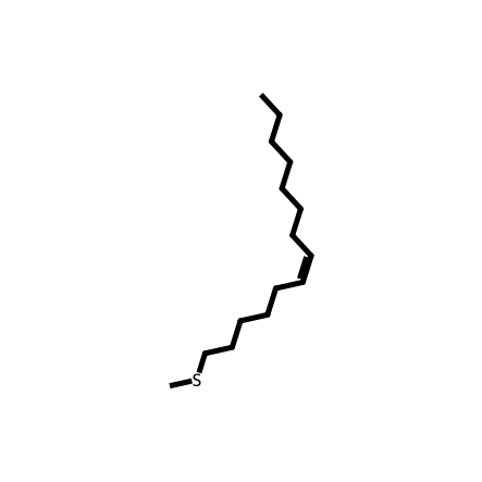 CCCCCCC/C=C\CCCCCSC